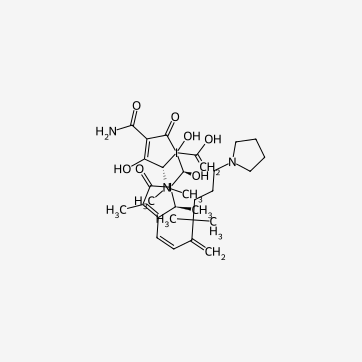 C=C(/C=C\C1=C(C)C(=O)I([C@H](O)I2(O)(C(=C)O)C(=O)C(C(N)=O)=C(O)[C@H]2N(C)C)[C@H]1C)C(C)(C)CCCN1CCCC1